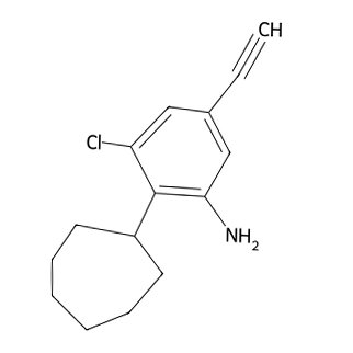 C#Cc1cc(N)c(C2CCCCCC2)c(Cl)c1